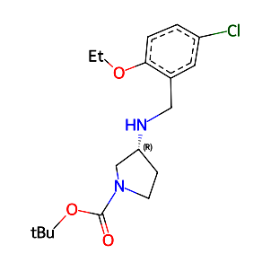 CCOc1ccc(Cl)cc1CN[C@@H]1CCN(C(=O)OC(C)(C)C)C1